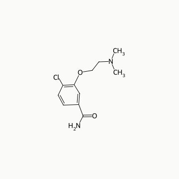 CN(C)CCOc1cc(C(N)=O)ccc1Cl